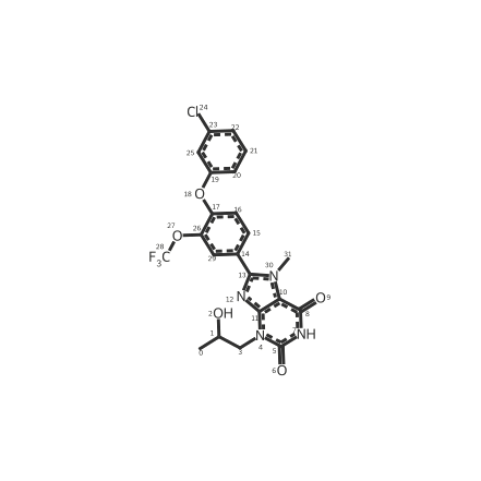 CC(O)Cn1c(=O)[nH]c(=O)c2c1nc(-c1ccc(Oc3cccc(Cl)c3)c(OC(F)(F)F)c1)n2C